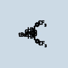 CC(C)(C)OC(=O)N1CC(C(=O)NCCc2ccc(C(F)(F)F)cc2)C(C(=O)NCCc2ccc(C(F)(F)F)cc2)C1